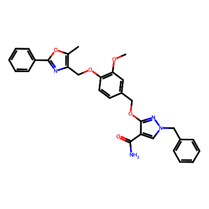 COc1cc(COc2nn(Cc3ccccc3)cc2C(N)=O)ccc1OCc1nc(-c2ccccc2)oc1C